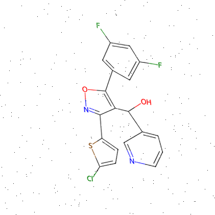 OC(c1cccnc1)c1c(-c2ccc(Cl)s2)noc1-c1cc(F)cc(F)c1